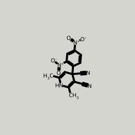 CC1=CC(C#N)(c2ccc([N+](=O)[O-])cc2[N+](=O)[O-])C(C#N)=C(C)N1